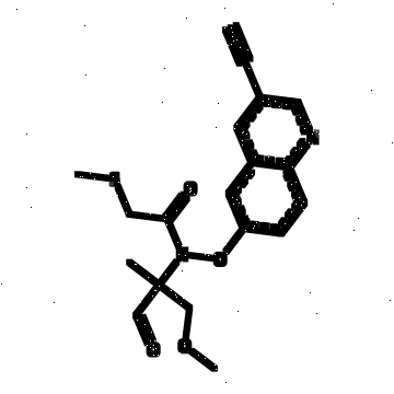 C#Cc1cnc2ccc(ON(C(=O)CSC)C(C)(C=O)COC)cc2c1